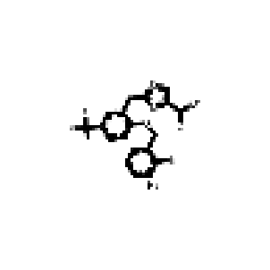 O=C([O-])c1csc(Cc2cc(C(F)(F)F)ccc2OCc2ccccc2Br)n1.[Na+]